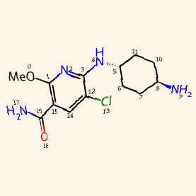 COc1nc(N[C@H]2CC[C@H](N)CC2)c(Cl)cc1C(N)=O